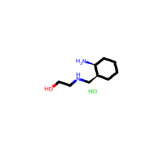 Cl.N[C@H]1CCCC[C@H]1CNCCO